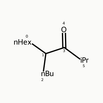 CCCCCCC(CCCC)C(=O)C(C)C